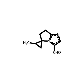 CC1CC12CCc1ncc(C=O)n12